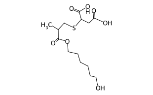 CC(CSC(CC(=O)O)C(=O)O)C(=O)OCCCCCCO